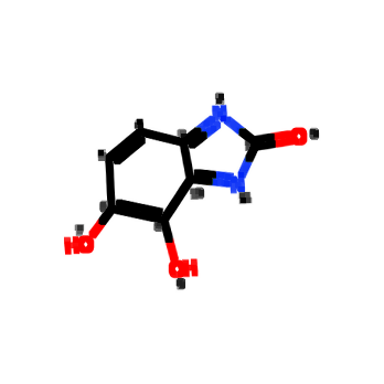 O=C1N=c2ccc(O)c(O)c2=N1